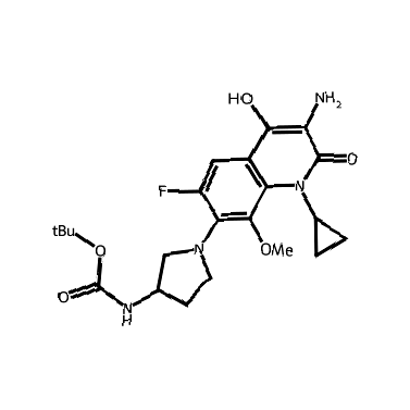 COc1c(N2CCC(NC(=O)OC(C)(C)C)C2)c(F)cc2c(O)c(N)c(=O)n(C3CC3)c12